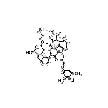 COCCOCCn1c(C(=O)O)cc2cccc(N3C[C@@H](C)n4c(c(CCCOc5cc(C)c(Cl)c(C)c5)c5ccc(Cl)c(-c6c(C)nn(C)c6C)c54)C3=O)c21